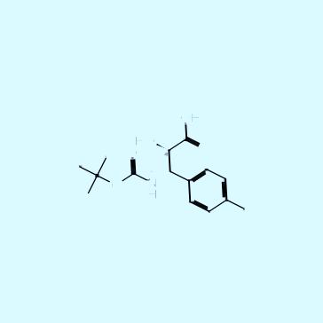 Cc1ccc([C@H](NC(=O)OC(C)(C)C)[C@@H](O)C(=O)O)cc1